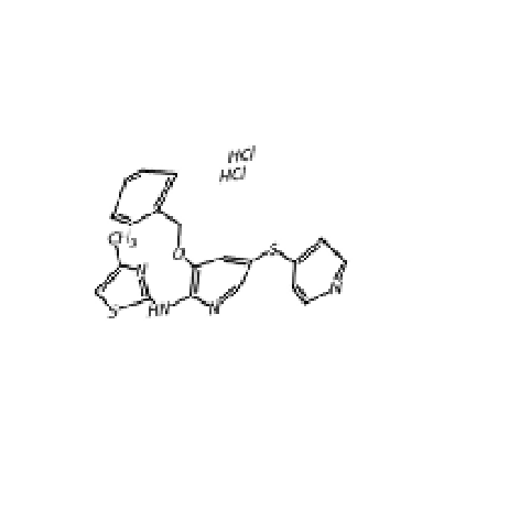 Cc1csc(Nc2ncc(Sc3ccncc3)cc2OCc2ccccc2)n1.Cl.Cl